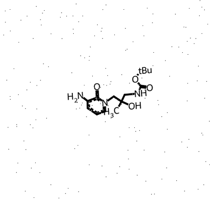 CC(O)(CNC(=O)OC(C)(C)C)Cn1cccc(N)c1=O